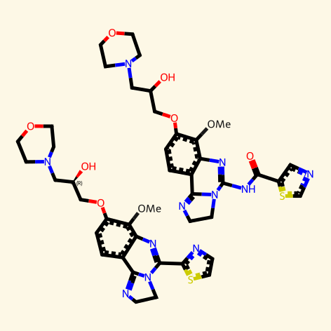 COc1c(OCC(O)CN2CCOCC2)ccc2c1N=C(NC(=O)c1cncs1)N1CCN=C21.COc1c(OC[C@H](O)CN2CCOCC2)ccc2c1N=C(c1nccs1)N1CCN=C21